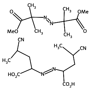 CC(C#N)CC(N=NC(CC(C)C#N)C(=O)O)C(=O)O.COC(=O)C(C)(C)N=NC(C)(C)C(=O)OC